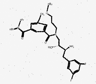 CCCCOCCCN(C[C@@H](O)[C@@H](N)Cc1cc(F)cc(F)c1)C(=O)c1cc(C)cc(C(=O)N(CCC)CCC)c1